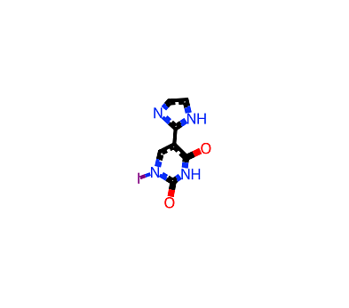 O=c1[nH]c(=O)n(I)cc1-c1ncc[nH]1